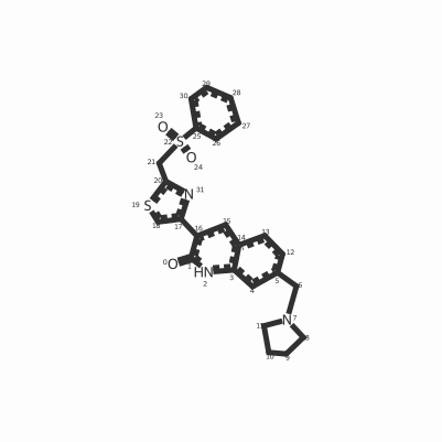 O=c1[nH]c2cc(CN3CCCC3)ccc2cc1-c1csc(CS(=O)(=O)c2ccccc2)n1